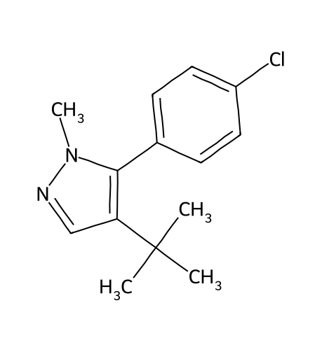 Cn1ncc(C(C)(C)C)c1-c1ccc(Cl)cc1